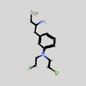 NC(CC(=O)O)Cc1cccc(N(CCCl)CCCl)c1